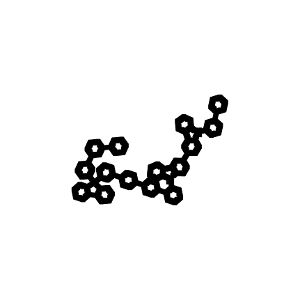 c1ccc(-c2cccc(-c3cccc(C4(c5cccc(-c6ccc(-c7ccc(-c8ccccc8-n8c9ccccc9c9cc(-c%10ccc%11c(c%10)c%10ccccc%10n%11-c%10cccc(-c%11ccccc%11)c%10)ccc98)cc7)cc6)c5)c5ccccc5-c5ccccc54)c3)c2)cc1